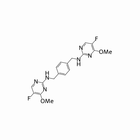 COc1nc(NCc2ccc(CNc3ncc(F)c(OC)n3)cc2)ncc1F